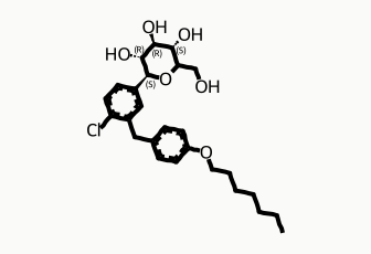 CCCCCCCOc1ccc(Cc2cc([C@@H]3OC(CO)[C@@H](O)[C@H](O)[C@H]3O)ccc2Cl)cc1